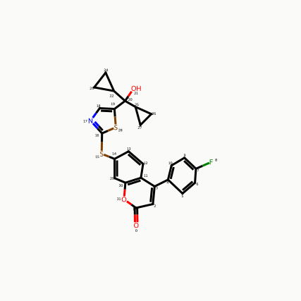 O=c1cc(-c2ccc(F)cc2)c2ccc(Sc3ncc(C(O)(C4CC4)C4CC4)s3)cc2o1